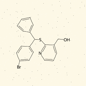 OCc1cccnc1SC(c1ccccc1)c1ccc(Br)cc1